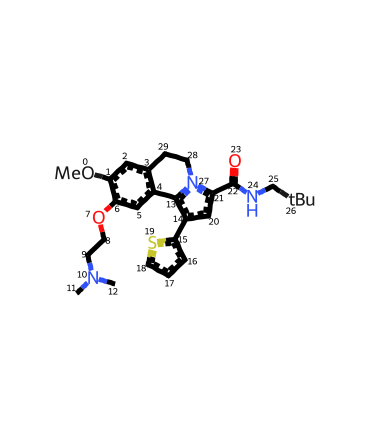 COc1cc2c(cc1OCCN(C)C)-c1c(-c3cccs3)cc(C(=O)NCC(C)(C)C)n1CC2